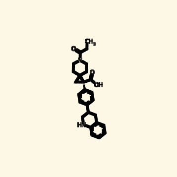 CCC(=O)N1CCC2(CC1)C[C@@]2(C(=O)O)c1ccc(C2CNc3ccccc3C2)cc1